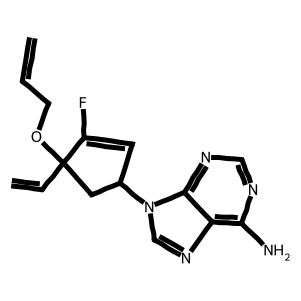 C=CCOC1(C=C)C[C](n2cnc3c(N)ncnc32)C=C1F